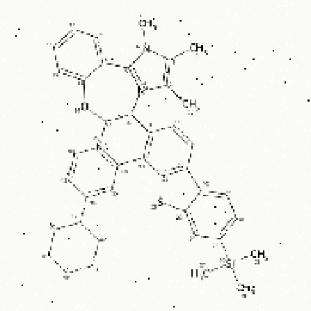 Cc1c(C)[n+]2c(n1C)-c1ccccc1OC1C2c2ccc3c(sc4cc([Si](C)(C)C)ccc43)c2-c2cc(C3CCCCC3)cc[n+]21